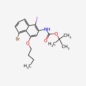 CCCCOc1cc(NC(=O)OC(C)(C)C)c(I)c2cccc(Br)c12